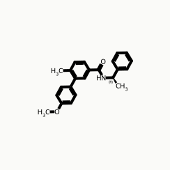 COc1ccc(-c2cc(C(=O)N[C@H](C)c3ccccc3)ccc2C)cc1